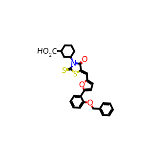 O=C(O)C1CCCC(N2C(=O)C(=Cc3ccc(-c4ccccc4OCc4ccccc4)o3)SC2=S)C1